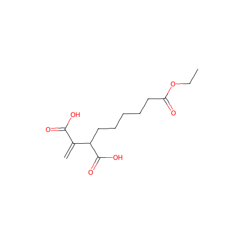 C=C(C(=O)O)C(CCCCCC(=O)OCC)C(=O)O